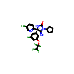 N=C1N(C2CCCC2)C(=O)N[C@@]1(c1cc(F)cc(OC(F)(F)C(F)F)c1)c1ccc(Cl)cn1